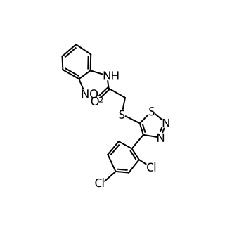 O=C(CSc1snnc1-c1ccc(Cl)cc1Cl)Nc1ccccc1[N+](=O)[O-]